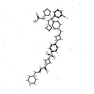 O=C(O)N[C@H]1CCC[C@@H]1C(CN1CCC1)(c1cccc(F)c1)C1CCN(CC2CN(c3ccc(S(=O)(=O)C4CN(C(=O)/C=C/CN5CCOCC5)C4)cc3)C2)CC1